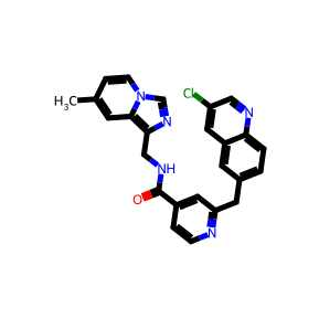 Cc1ccn2cnc(CNC(=O)c3ccnc(Cc4ccc5ncc(Cl)cc5c4)c3)c2c1